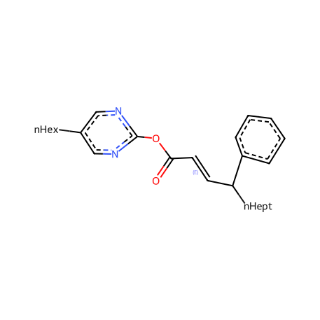 CCCCCCCC(/C=C/C(=O)Oc1ncc(CCCCCC)cn1)c1ccccc1